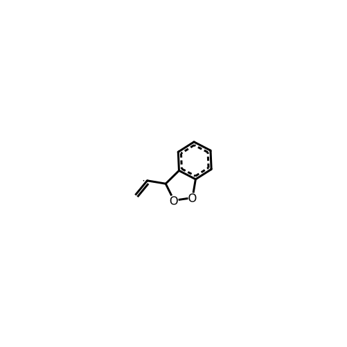 C=[C]C1OOc2ccccc21